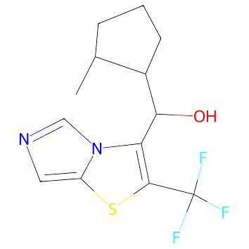 CC1CCCC1C(O)c1c(C(F)(F)F)sc2cncn12